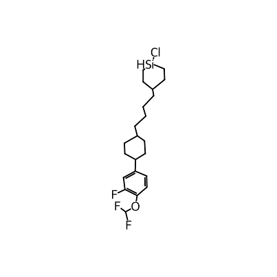 Fc1cc(C2CCC(CCCCC3CC[SiH](Cl)CC3)CC2)ccc1OC(F)F